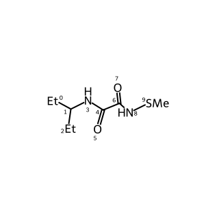 CCC(CC)NC(=O)C(=O)NSC